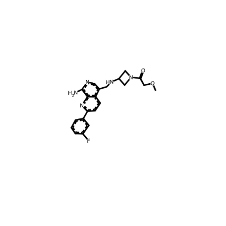 COCC(=O)N1CC(NCc2cnc(N)c3nc(-c4cccc(F)c4)ccc23)C1